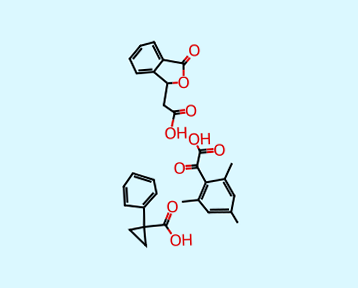 Cc1cc(C)c(C(=O)C(=O)O)c(C)c1.O=C(O)C1(c2ccccc2)CC1.O=C(O)CC1OC(=O)c2ccccc21